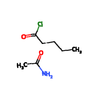 CC(N)=O.CCCCC(=O)Cl